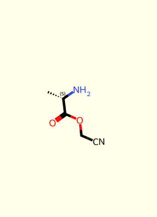 C[C@H](N)C(=O)OCC#N